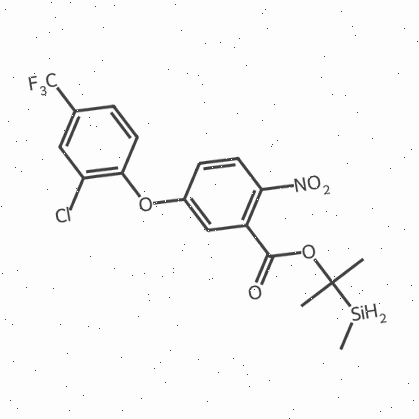 C[SiH2]C(C)(C)OC(=O)c1cc(Oc2ccc(C(F)(F)F)cc2Cl)ccc1[N+](=O)[O-]